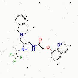 CC(NC(CNC(=O)COc1cccc2cccnc12)CN1CCc2ccccc2C1)C(F)(F)F